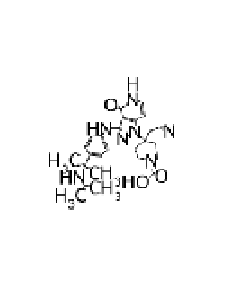 CC(C)NC(C)(C)c1ccc(Nc2nn(C3(CC#N)CCN(C(=O)O)CC3)c3cc[nH]c(=O)c23)cc1